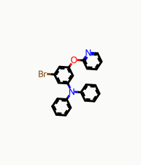 Brc1cc(Oc2ccccn2)cc(N(c2ccccc2)c2ccccc2)c1